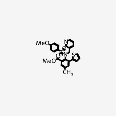 COC(=O)c1cc(C)cc(-c2cccs2)c1N(Cc1cccnc1)S(=O)(=O)c1ccc(OC)cc1